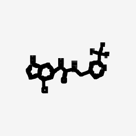 O=C(NCc1ccnc(C(F)(F)F)c1)Nc1cc(Cl)c2cc[nH]c2c1